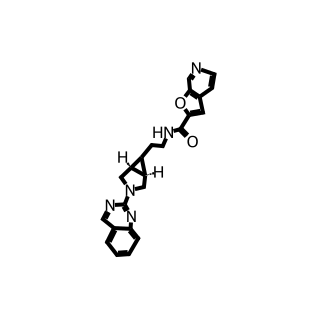 O=C(NCCC1[C@H]2CN(c3ncc4ccccc4n3)C[C@@H]12)c1cc2ccncc2o1